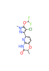 CC1Oc2ccc(-c3nn(C)c(OC(F)F)c3Cl)nc2NC1=O